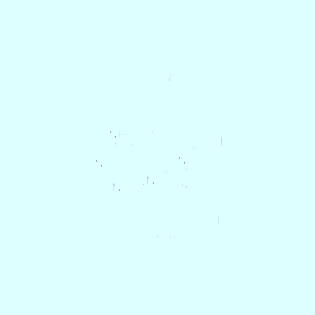 CCOC(C)c1cc2c3c(N)ncnc3n(-c3c(C)ccc(O)c3C)c2nc1C